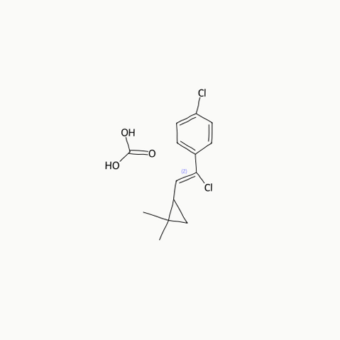 CC1(C)CC1/C=C(\Cl)c1ccc(Cl)cc1.O=C(O)O